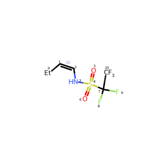 CC/C=C\NS(=O)(=O)C(F)(F)C(F)(F)F